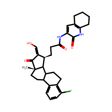 C[C@]12CCC3c4cccc(F)c4CCC3C1[C@H](CCC(=O)Nc1cc3c([nH]c1=O)CCCC3)/C(=C/O)C2=O